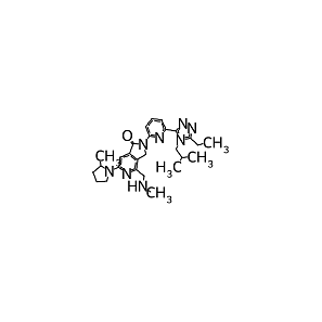 CCc1nnc(-c2cccc(N3Cc4c(cc(N5CCCC5C)nc4CNC)C3=O)n2)n1CC(C)C